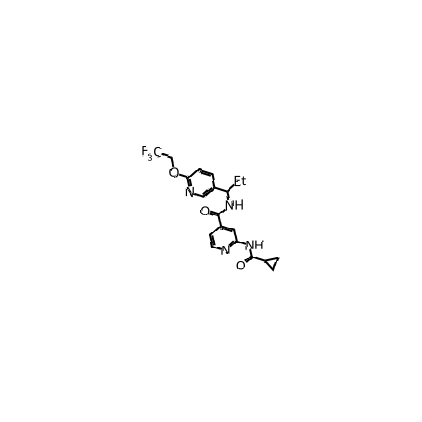 CCC(NC(=O)c1ccnc(NC(=O)C2CC2)c1)c1ccc(OCC(F)(F)F)nc1